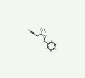 CC(CC#N)OCc1ccccc1